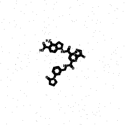 Cc1c(C(=O)O)ccc2c1CC[C@@H]2NC(=O)c1cc(C(=O)NCc2cccc(N3CCCC3=O)c2)nc2c(F)cnn12